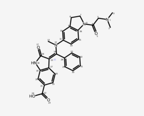 CN(C)CC(=O)N1CCc2cc(N(C)/C(=C3\C(=O)Nc4cc(C(=O)O)ccc43)c3ccccc3)ccc21